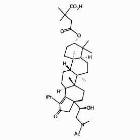 CC(=O)N(C)C[C@H](O)[C@@]12CC[C@]3(C)[C@H](CC[C@@H]4[C@@]5(C)CC[C@H](OC(=O)CC(C)(C)C(=O)O)C(C)(C)[C@H]5CC[C@]43C)C1=C(C(C)C)C(=O)C2